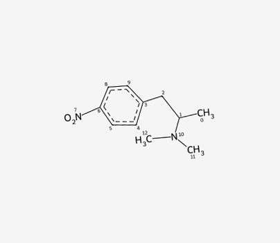 CC(Cc1ccc([N+](=O)[O-])cc1)N(C)C